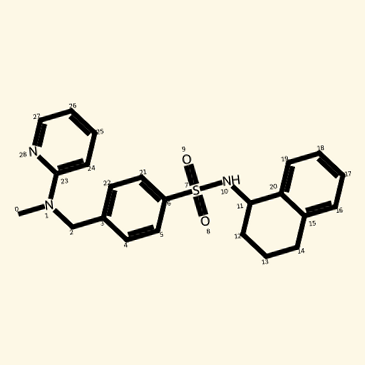 CN(Cc1ccc(S(=O)(=O)NC2CCCc3ccccc32)cc1)c1ccccn1